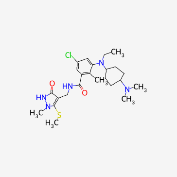 CCN(c1cc(Cl)cc(C(=O)NCc2c(SC)n(C)[nH]c2=O)c1C)C1CCC(N(C)C)CC1